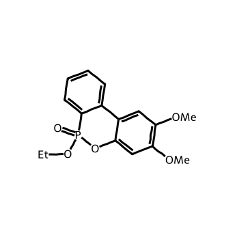 CCOP1(=O)Oc2cc(OC)c(OC)cc2-c2ccccc21